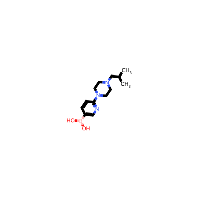 CC(C)CN1CCN(c2ccc(B(O)O)cn2)CC1